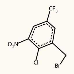 O=[N+]([O-])c1cc(C(F)(F)F)cc(CBr)c1Cl